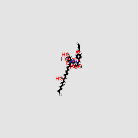 CC#CCOc1ccc(C[C@H](NC(=O)[C@@H](/C=C/CCCCCCC(O)CCCCCCC)[C@@](O)(CCO)C(=O)O)C(=O)O)cc1